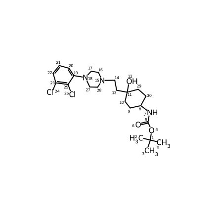 CC(C)(C)OC(=O)NC1CCC(O)(CCN2CCN(c3cccc(Cl)c3Cl)CC2)CC1